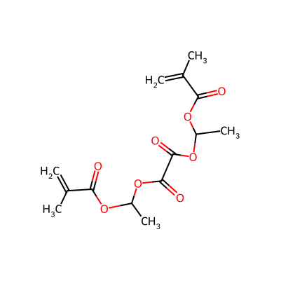 C=C(C)C(=O)OC(C)OC(=O)C(=O)OC(C)OC(=O)C(=C)C